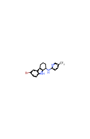 FC(F)(F)c1ccc(NC2CCCc3c2[nH]c2ccc(Br)cc32)nc1